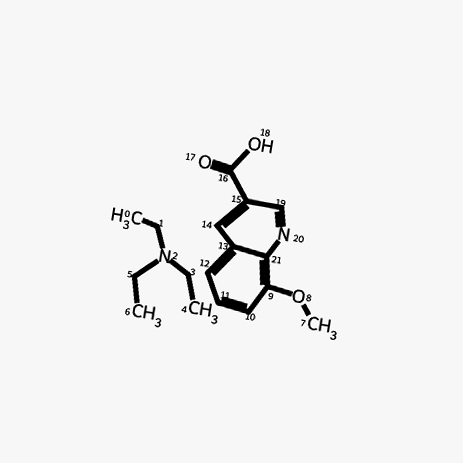 CCN(CC)CC.COc1cccc2cc(C(=O)O)cnc12